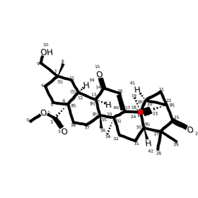 COC(=O)[C@]12CC[C@](C)(CO)C[C@H]1[C@H]1C(=O)C=C3[C@@]4(C)[C@H]5C[C@@]5(C#N)C(=O)C(C)(C)[C@@H]4CC[C@@]3(C)[C@]1(C)CC2